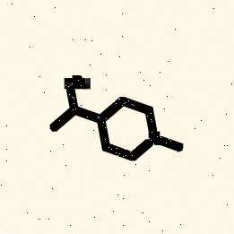 CCCCC(C)C1CCN(C)CC1